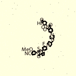 COc1cc(N2C(=O)C3(CCC3)N(c3ccc(N4CCC(CN5CCN(c6ccc7c(c6)C(=O)N(C6CCC(=O)NC6=O)C7=O)CC5)CC4)c(F)c3)C2=S)ccc1C#N